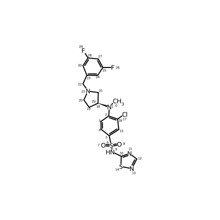 CN(c1ccc(S(=O)(=O)Nc2ncns2)cc1Cl)[C@H]1CCN(Cc2cc(F)cc(F)c2)C1